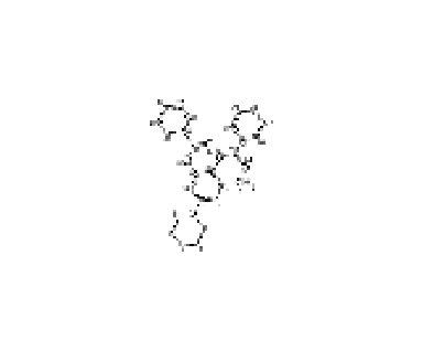 Cc1cc(C2CCCCC2)cc(OC(=O)c2ccccc2)c1OC(=O)c1ccccc1